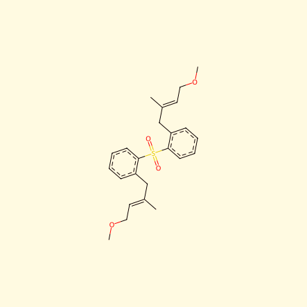 COCC=C(C)Cc1ccccc1S(=O)(=O)c1ccccc1CC(C)=CCOC